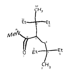 CCC(C)(CC)CC(C(=O)NC)C(C)(CC)CC